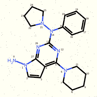 Nn1ccc2c(N3CCCCC3)nc(N(c3ccccc3)N3CCCC3)nc21